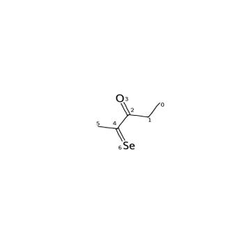 CCC(=O)C(C)=[Se]